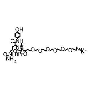 CC(C)[C@H](NC(=O)CCOCCOCCOCCOCCOCCOCCN=[N+]=[N-])C(=O)NC(CCCNC(N)=O)C(=O)Nc1ccc(O)cc1